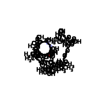 CNN(C)Cc1cc2cccnc2n1CCC(=O)N[C@@H](CS(=O)(=O)O)C(=O)NCCOCCOCCC(=O)N[C@H](C(=O)N[C@@H](C)C(=O)Nc1ccc(COC(=O)N(C)CCCC(=O)N(C)[C@@H](C)C(=O)O[C@H]2CC(=O)N(C)c3cc(cc(OC)c3Cl)C/C(C)=C/C=C/[C@@H](O)[C@@]3(O)C[C@H](OC(=O)N3)[C@@H](C)C3O[C@]32C)cc1O[C@@H]1O[C@H](CO)[C@@H](O)[C@H](O)[C@@H]1O)C(C)C